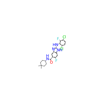 CC1(C)CCC(NC(=O)c2cc3nc(Nc4c(Cl)ccc(Cl)c4F)[nH]c3cc2F)CC1